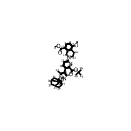 COC(=O)c1ccc(OC)c2c1CN(c1ccc(-c3cnn(C45CC6CC(CC(C6)C4)C5)c3C)c(C(=O)OC(C)(C)C)n1)CC2